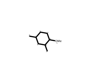 [CH2]C1CCC(OC)C(C)C1